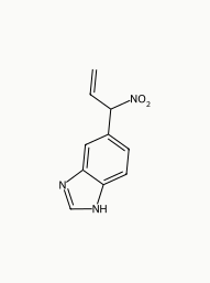 C=CC(c1ccc2[nH]cnc2c1)[N+](=O)[O-]